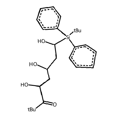 CC(C)(C)C(=O)C(O)CC(O)CC(O)[Si](c1ccccc1)(c1ccccc1)C(C)(C)C